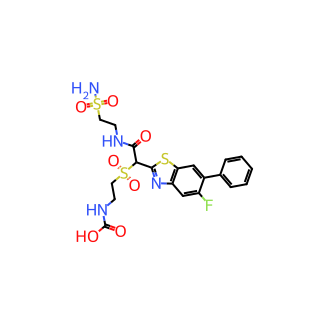 NS(=O)(=O)CCNC(=O)C(c1nc2cc(F)c(-c3ccccc3)cc2s1)S(=O)(=O)CCNC(=O)O